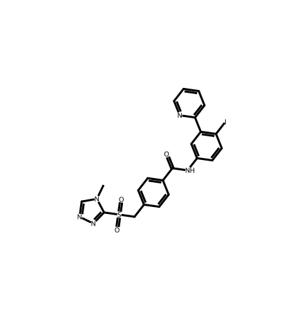 Cn1cnnc1S(=O)(=O)Cc1ccc(C(=O)Nc2ccc(I)c(-c3ccccn3)c2)cc1